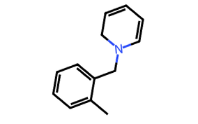 Cc1ccccc1CN1C=CC=CC1